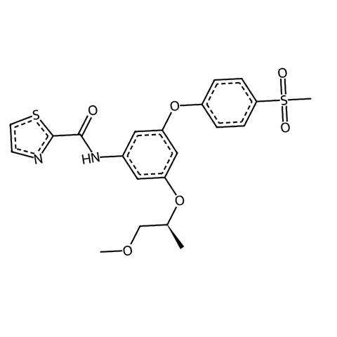 COC[C@H](C)Oc1cc(NC(=O)c2nccs2)cc(Oc2ccc(S(C)(=O)=O)cc2)c1